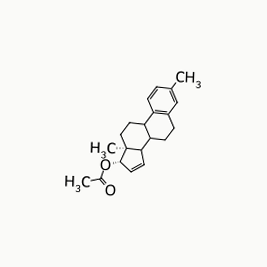 CC(=O)O[C@H]1C=CC2C3CCc4cc(C)ccc4C3CC[C@@]21C